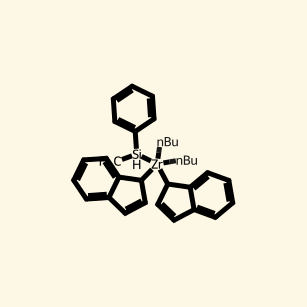 CCC[CH2][Zr]([CH2]CCC)([CH]1C=Cc2ccccc21)([CH]1C=Cc2ccccc21)[SiH](C)c1ccccc1